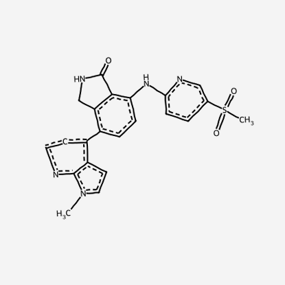 Cn1ccc2c(-c3ccc(Nc4ccc(S(C)(=O)=O)cn4)c4c3CNC4=O)ccnc21